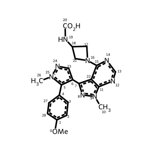 COc1ccc(-c2c(-c3nn(C)c4ncnc(N5CC(NC(=O)O)C5)c34)cnn2C)cc1